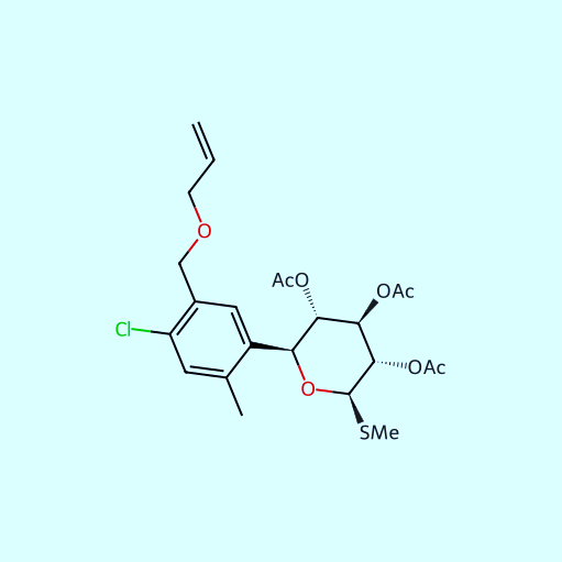 C=CCOCc1cc([C@@H]2O[C@H](SC)[C@@H](OC(C)=O)[C@H](OC(C)=O)[C@H]2OC(C)=O)c(C)cc1Cl